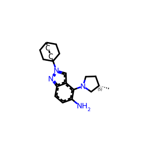 C[C@H]1CCN(c2c(N)ccc3nn(C45CCC(CC4)CC5)cc23)C1